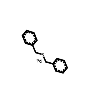 [Pd].c1ccc(CSCc2ccccc2)cc1